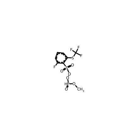 CO[PH](=O)OOS(=O)(=O)c1c(F)cccc1SC(F)(F)F